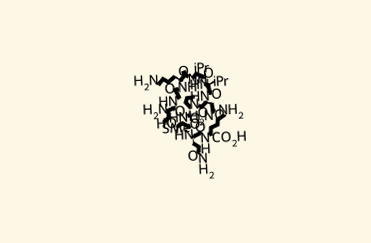 CSCC[C@H](N)C(=O)NCC(=O)N[C@@H](CCCCN)C(=O)N[C@H](C(=O)N[C@H](C(=O)N[C@@H](CC(N)=O)C(=O)N1CCC[C@H]1C(=O)N[C@H](C(=O)N[C@@H](CCC(N)=O)C(=O)N[C@@H](CCCCN)C(=O)O)[C@@H](C)O)C(C)C)C(C)C